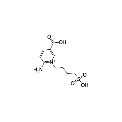 Nc1ccc(C(=O)O)c[n+]1CCCCS(=O)(=O)O